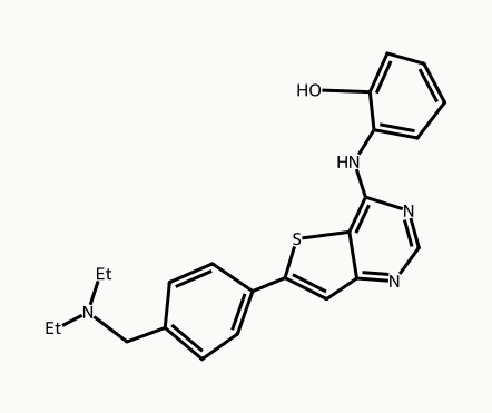 CCN(CC)Cc1ccc(-c2cc3ncnc(Nc4ccccc4O)c3s2)cc1